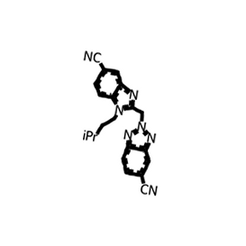 CC(C)CCn1c(Cn2nc3ccc(C#N)cc3n2)nc2cc(C#N)ccc21